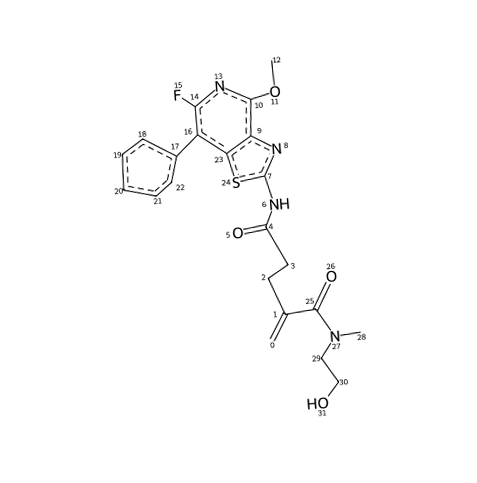 C=C(CCC(=O)Nc1nc2c(OC)nc(F)c(-c3ccccc3)c2s1)C(=O)N(C)CCO